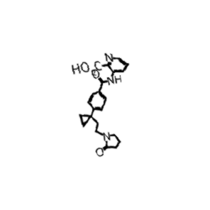 O=C(Nc1cccnc1C(=O)O)c1ccc(C2(CCN3CCCC3=O)CC2)cc1